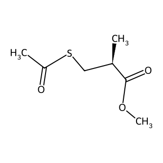 COC(=O)[C@H](C)CSC(C)=O